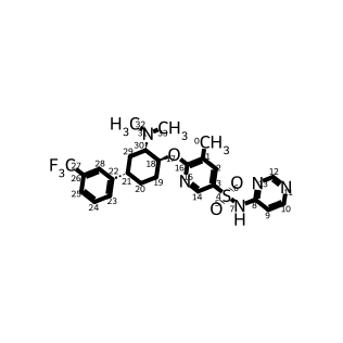 Cc1cc(S(=O)(=O)Nc2ccncn2)cnc1O[C@H]1CC[C@H](c2cccc(C(F)(F)F)c2)C[C@@H]1N(C)C